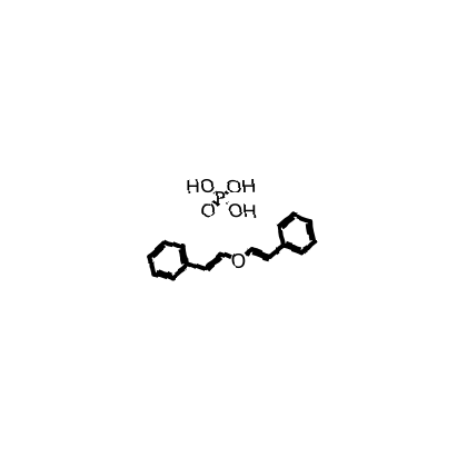 C(=Cc1ccccc1)OC=Cc1ccccc1.O=P(O)(O)O